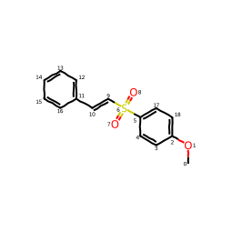 COc1ccc(S(=O)(=O)/C=C/c2ccccc2)cc1